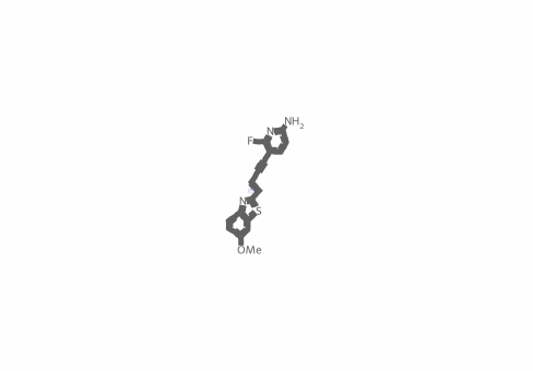 COc1ccc2nc(/C=C/C#Cc3ccc(N)nc3F)sc2c1